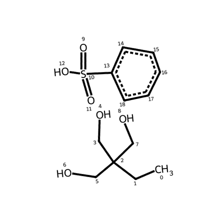 CCC(CO)(CO)CO.O=S(=O)(O)c1ccccc1